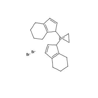 C1=C[CH]([Zr+2]2([CH]3C=CC4=C3CCCC4)[CH2][CH2]2)C2=C1CCCC2.[Br-].[Br-]